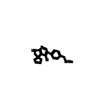 CC(=O)NCc1ccc(-c2cnc3c(c2Cl)C2(CC=CC2)CN3)cc1